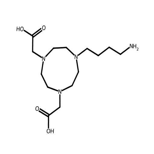 NCCCCN1CCN(CC(=O)O)CCN(CC(=O)O)CC1